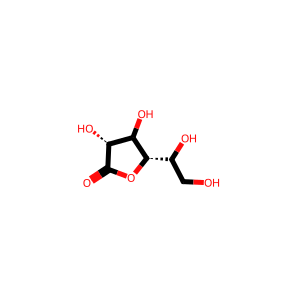 O=C1O[C@@H](C(O)CO)C(O)[C@H]1O